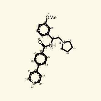 COc1cccc(C(CN2CCCC2)NC(=O)c2ccc(-c3ccncc3)cc2)c1